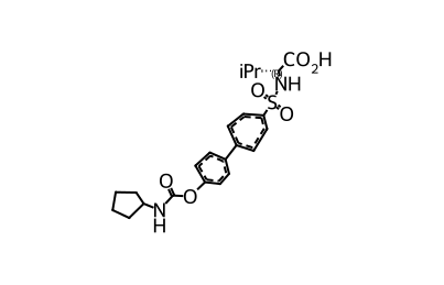 CC(C)[C@@H](NS(=O)(=O)c1ccc(-c2ccc(OC(=O)NC3CCCC3)cc2)cc1)C(=O)O